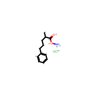 CC(CCCc1ccccc1)C(=O)ON.Cl